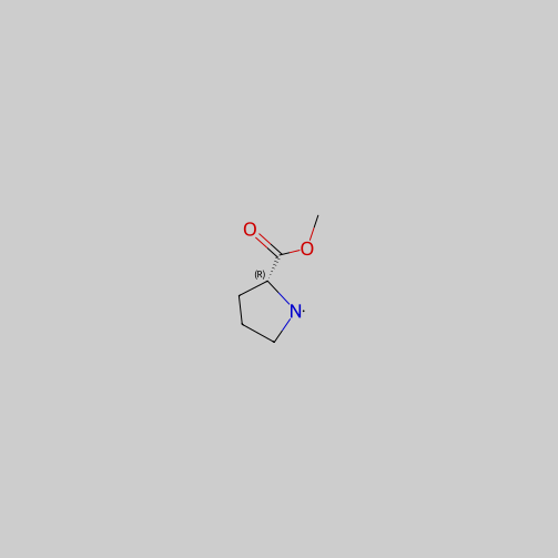 COC(=O)[C@H]1CCC[N]1